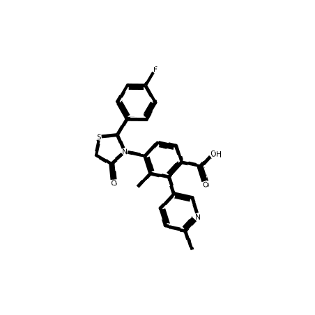 Cc1ccc(-c2c(C(=O)O)ccc(N3C(=O)CSC3c3ccc(F)cc3)c2C)cn1